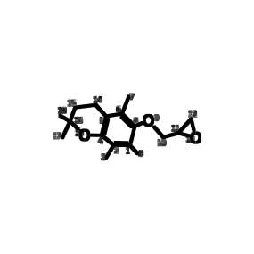 Cc1c(C)c2c(c(C)c1OCC1CO1)CCC(C)(C)O2